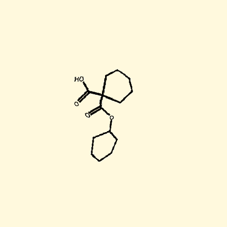 O=C(O)C1(C(=O)OC2CCCCC2)CCCCC1